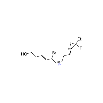 CCC1(F)C[C@@H]1CC/C=C\C(Br)C=CCCO